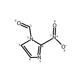 O=Cn1ccnc1[N+](=O)[O-]